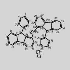 [Cl-].[Cl-].c1ccc(C2c3ccccc3-c3ccc[c]([Zr+2][c]4cccc5c4C(c4ccccc4)c4ccccc4-5)c32)cc1